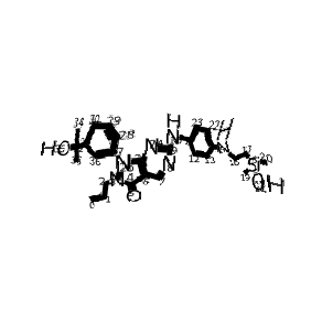 C=CCn1c(=O)c2cnc(Nc3ccc(NCC[Si](C)(C)O)cc3)nc2n1-c1cccc(C(C)(C)O)c1